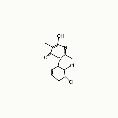 Cc1c(O)nc(C)n(C2C=CCC(Cl)C2Cl)c1=O